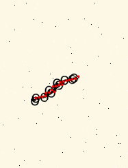 C=C=COOCCCCOc1ccc(OC(=O)c2ccc3cc(OC(=O)c4ccc(OCCCCOC(=O)C=C)cc4)ccc3c2)cc1